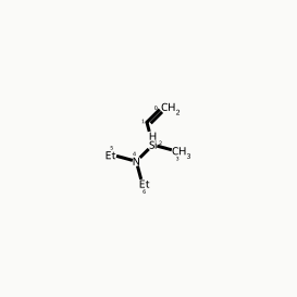 C=C[SiH](C)N(CC)CC